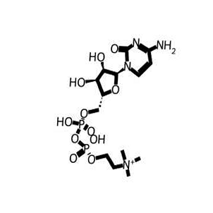 C[N+](C)(C)CCOP(=O)(O)OP(=O)(O)OC[C@H]1O[C@H](n2ccc(N)nc2=O)[C@H](O)[C@@H]1O